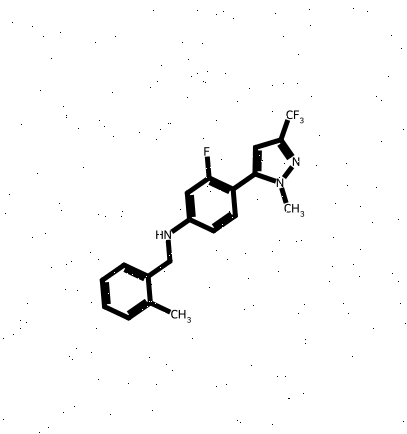 Cc1ccccc1CNc1ccc(-c2cc(C(F)(F)F)nn2C)c(F)c1